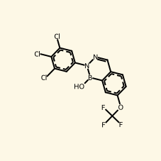 OB1c2cc(OC(F)(F)F)ccc2C=NN1c1cc(Cl)c(Cl)c(Cl)c1